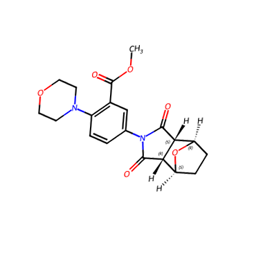 COC(=O)c1cc(N2C(=O)[C@@H]3[C@H](C2=O)[C@H]2CC[C@@H]3O2)ccc1N1CCOCC1